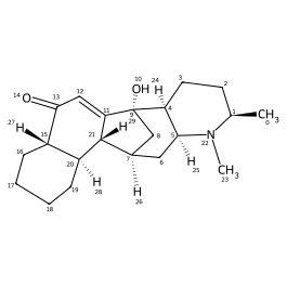 C[C@@H]1CC[C@H]2[C@H](C[C@@H]3C[C@@]2(O)C2=CC(=O)[C@H]4CCCC[C@@H]4[C@H]23)N1C